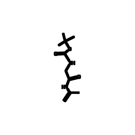 C=C(C)NC(=O)CNC(=O)OC(C)(C)C